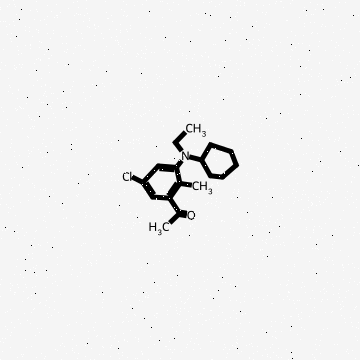 CCN(c1cc(Cl)cc(C(C)=O)c1C)C1CCCCC1